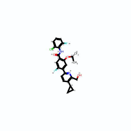 C[C@H](Oc1cc(-c2ccc(C3CC3)c(CO)n2)c(F)cc1C(=O)Nc1c(F)cccc1Cl)C(F)(F)F